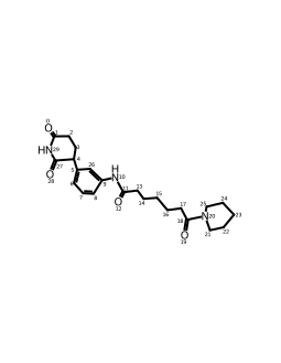 O=C1CCC(c2cccc(NC(=O)CCCCCC(=O)N3CCCCC3)c2)C(=O)N1